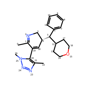 CC1=NC[C@H](C(c2ccccc2)C2CCOCC2)C=C1c1c(C)nnn1C